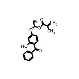 C=C(C)C(=O)OC(Oc1ccc(C(=O)c2ccccc2)c(O)c1)C(C)C